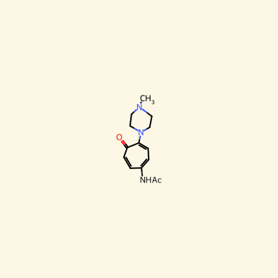 CC(=O)Nc1ccc(N2CCN(C)CC2)c(=O)cc1